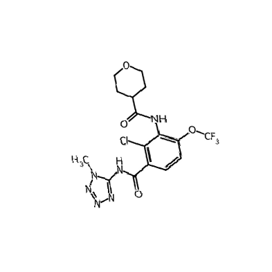 Cn1nnnc1NC(=O)c1ccc(OC(F)(F)F)c(NC(=O)C2CCOCC2)c1Cl